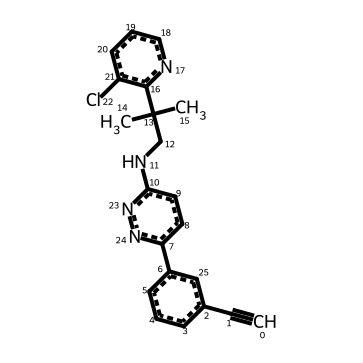 C#Cc1cccc(-c2ccc(NCC(C)(C)c3ncccc3Cl)nn2)c1